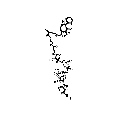 CC(=CCC[C@@H](C)[C@H]1CC[C@H]2[C@@H]3CCC4CCCC[C@]4(C)[C@H]3CC[C@]12C)C(=O)SCCNC(=O)CCNC(=O)[C@H](O)C(C)(C)COP(=O)(O)OP(=O)(O)OC[C@H]1O[C@@H](n2cnc3c(N)ncnc32)[C@H](O)[C@@H]1OP(=O)(O)O